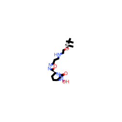 CC(C)(C)[Si](C)(C)OCCNCCc1nnc([C@@H]2CCC3CN2C(=O)N3O)o1